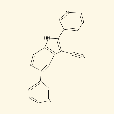 N#Cc1c(-c2cccnc2)[nH]c2ccc(-c3cccnc3)cc12